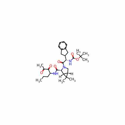 CCCC(NC(=O)[C@@H]1[C@@H]2[C@H](CN1C(=O)[C@@H](NC(=O)OC(C)(C)C)C1Cc3ccccc3C1)C2(C)C)C(=O)C(C)=O